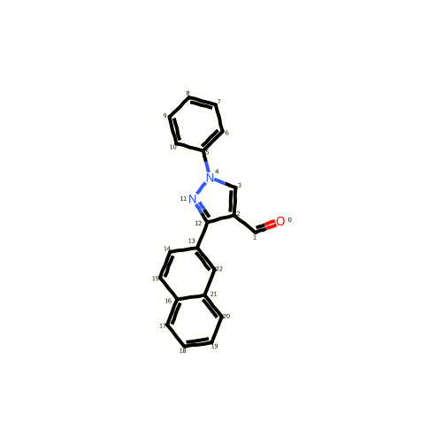 O=Cc1cn(-c2ccccc2)nc1-c1ccc2ccccc2c1